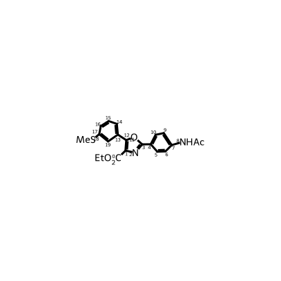 CCOC(=O)c1nc(-c2ccc(NC(C)=O)cc2)oc1-c1cccc(SC)c1